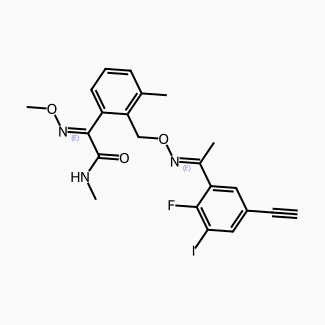 C#Cc1cc(I)c(F)c(/C(C)=N/OCc2c(C)cccc2/C(=N\OC)C(=O)NC)c1